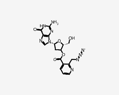 [N-]=[N+]=NCc1ncccc1C(=O)OC1C[C@H](n2cnc3c(=O)[nH]c(N)nc32)O[C@@H]1CO